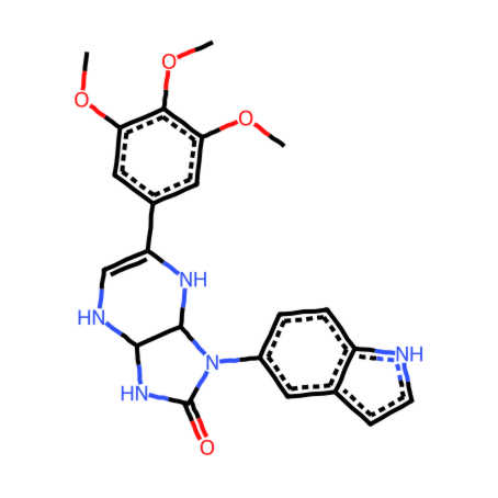 COc1cc(C2=CNC3NC(=O)N(c4ccc5[nH]ccc5c4)C3N2)cc(OC)c1OC